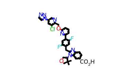 CC1(C)COC[C@H]1n1c(Cc2cc(F)c(-c3cccc(OCc4ncc(-n5ccnn5)cc4Cl)n3)cc2F)nc2ccc(C(=O)O)cc21